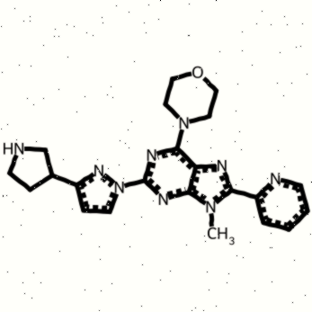 Cn1c(-c2ccccn2)nc2c(N3CCOCC3)nc(-n3ccc(C4CCNC4)n3)nc21